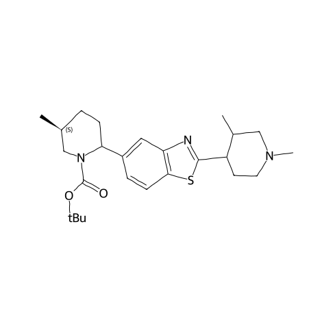 CC1CN(C)CCC1c1nc2cc(C3CC[C@H](C)CN3C(=O)OC(C)(C)C)ccc2s1